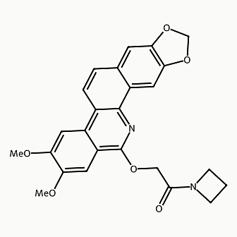 COc1cc2c(OCC(=O)N3CCC3)nc3c4cc5c(cc4ccc3c2cc1OC)OCO5